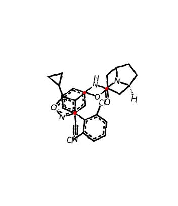 N#Cc1cccc(NC(=O)N2C3CC[C@H]2CC(OCc2c(-c4c(Cl)cccc4Cl)noc2C2CC2)C3)c1